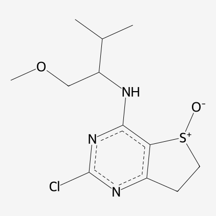 COCC(Nc1nc(Cl)nc2c1[S+]([O-])CC2)C(C)C